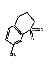 Cc1ccc2c(n1)S(=O)(=O)CCO2